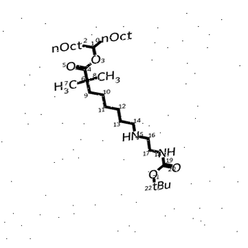 CCCCCCCCC(CCCCCCCC)OC(=O)C(C)(C)CCCCCCNCCNC(=O)OC(C)(C)C